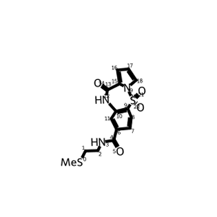 CSCCNC(=O)c1ccc2c(c1)NC(=O)c1cccn1S2(=O)=O